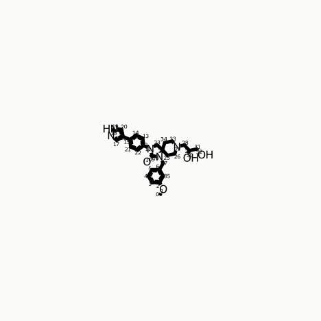 COc1cccc(CN2C(=O)N(c3ccc(-c4cn[nH]c4)cc3)CC23CCN(CC(O)CO)CC3)c1